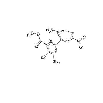 COC(=O)c1nc(-c2cc([N+](=O)[O-])ccc2N)cc(N)c1Cl